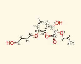 CCC=COc1c(O)c2cccc(OCCCCO)c2oc1=O